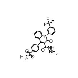 CS(=O)(=O)c1ccc(-c2c(C(=O)NN)c(=O)n(-c3cccc(C(F)(F)F)c3)c3ccccc23)cc1